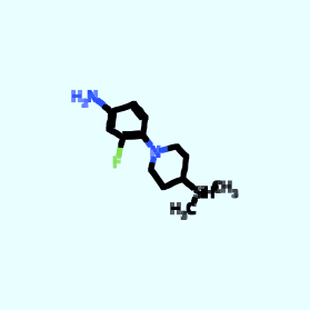 C[SiH](C)C1CCN(c2ccc(N)cc2F)CC1